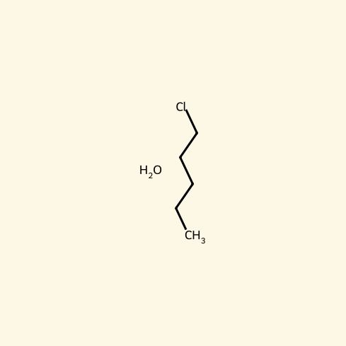 CCCCCCl.O